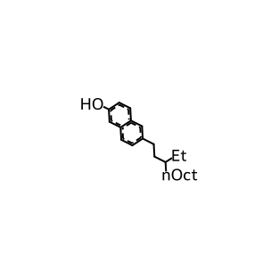 CCCCCCCCC(CC)CCc1ccc2cc(O)ccc2c1